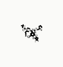 CN1CCCC1COc1nc(N2CCN(C(=O)OC(C)(C)C)C(CC#N)C2)c2cc(Cl)c(Br)c(OC3CC(F)(F)C3)c2n1